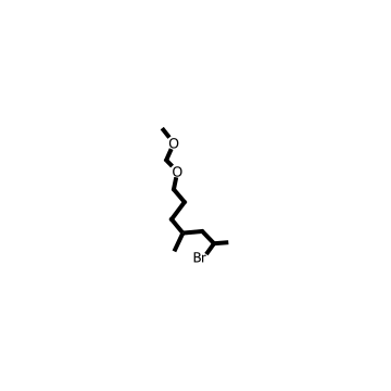 COCOCCCC(C)CC(C)Br